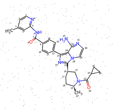 Cc1ccnc(NC(=O)c2ccc(-c3nc([C@@H]4CC[C@H](C)N(C(=O)C5CC5)C4)n4ccnc(N)c34)cc2)c1